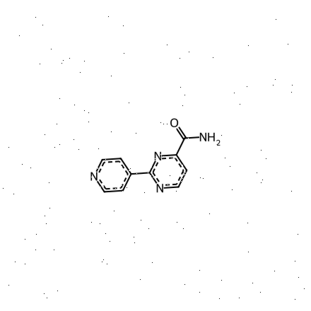 NC(=O)c1ccnc(-c2ccncc2)n1